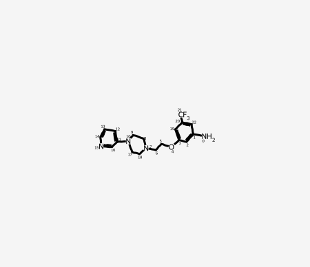 Nc1cc(OCCN2CCN(c3cccnc3)CC2)cc(C(F)(F)F)c1